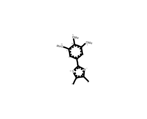 COc1cc(-c2nc(C)c(C)s2)cc(OC)c1OC